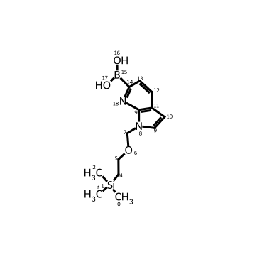 C[Si](C)(C)CCOCn1ccc2ccc(B(O)O)nc21